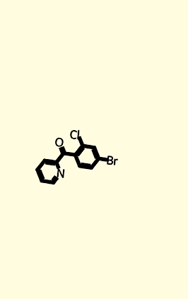 O=C(c1ccccn1)c1ccc(Br)cc1Cl